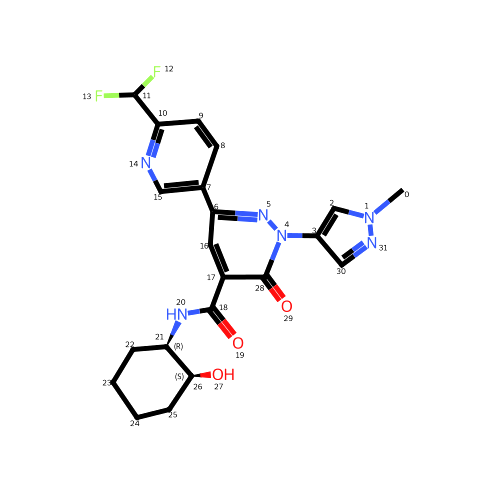 Cn1cc(-n2nc(-c3ccc(C(F)F)nc3)cc(C(=O)N[C@@H]3CCCC[C@@H]3O)c2=O)cn1